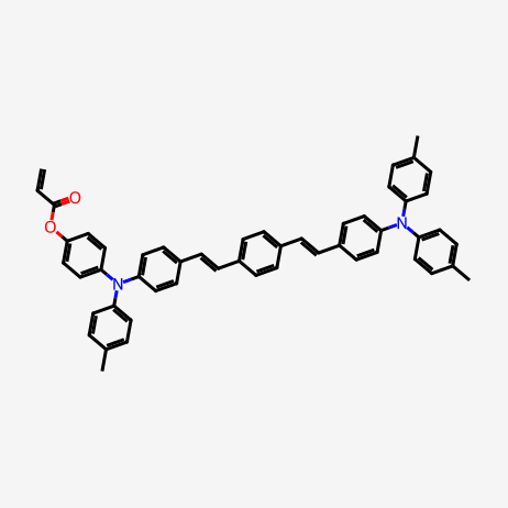 C=CC(=O)Oc1ccc(N(c2ccc(C)cc2)c2ccc(C=Cc3ccc(C=Cc4ccc(N(c5ccc(C)cc5)c5ccc(C)cc5)cc4)cc3)cc2)cc1